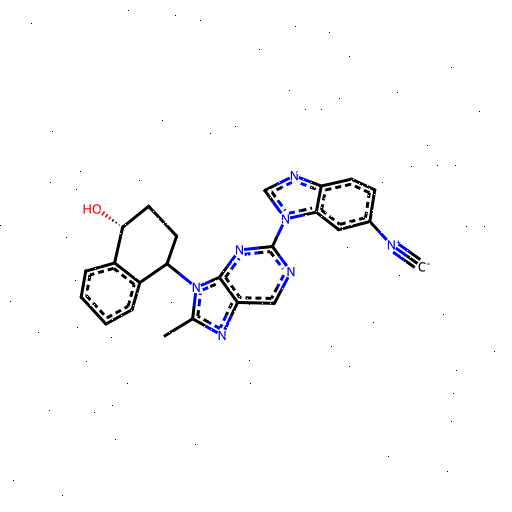 [C-]#[N+]c1ccc2ncn(-c3ncc4nc(C)n(C5CC[C@@H](O)c6ccccc65)c4n3)c2c1